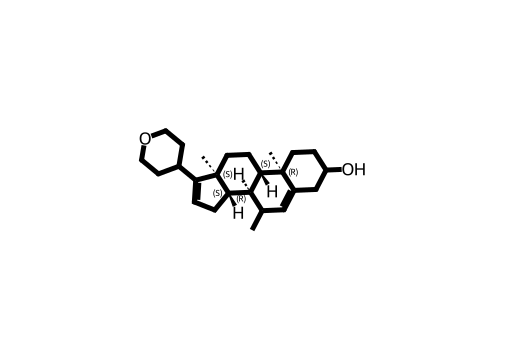 CC1C=C2CC(O)CC[C@]2(C)[C@H]2CC[C@]3(C)C(C4CCOCC4)=CC[C@H]3[C@H]12